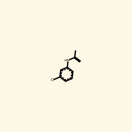 C=C(C)Nc1cccc(Cl)c1